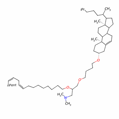 CCCCC/C=C\C/C=C\CCCCCCCCOC(COCCCCO[C@@H]1CC[C@]2(C)C(=CCC3C4CCC(C(C)CCCC(C)C)[C@]4(C)CCC32)C1)CN(C)C